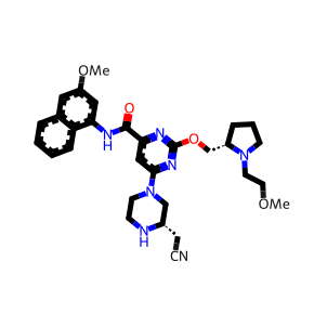 COCCN1CCC[C@H]1COc1nc(C(=O)Nc2cc(OC)cc3ccccc23)cc(N2CCN[C@@H](CC#N)C2)n1